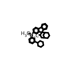 CC1CC2CCCC(C2)C12c1ccccc1-c1ccc(N(C)c3cccc(C4CCCCC4)c3)cc12